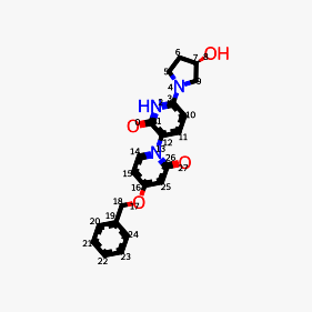 O=c1[nH]c(N2CC[C@@H](O)C2)ccc1-n1ccc(OCc2ccccc2)cc1=O